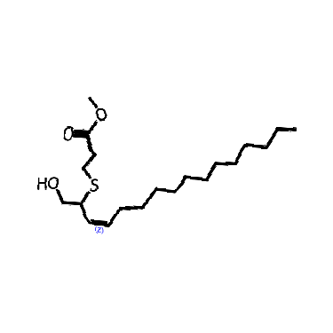 CCCCCCCCCCCC/C=C\C(CO)SCCC(=O)OC